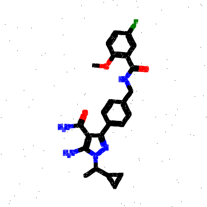 COc1ccc(F)cc1C(=O)NCc1ccc(-c2nn(C(C)C3CC3)c(N)c2C(N)=O)cc1